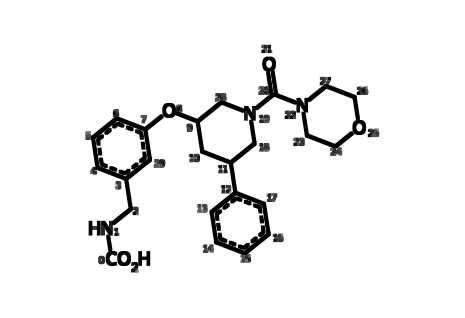 O=C(O)NCc1cccc(OC2CC(c3ccccc3)CN(C(=O)N3CCOCC3)C2)c1